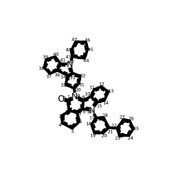 O=c1c2ccccc2c2c(c3ccccc3n2-c2cccc(-c3ccccc3)c2)n1-c1ccc2c(c1)c1ccccc1n2-c1ccccc1